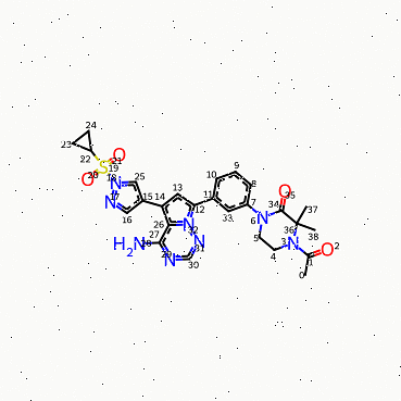 CC(=O)N1CCN(c2cccc(-c3cc(-c4cnn(S(=O)(=O)C5CC5)c4)c4c(N)ncnn34)c2)C(=O)C1(C)C